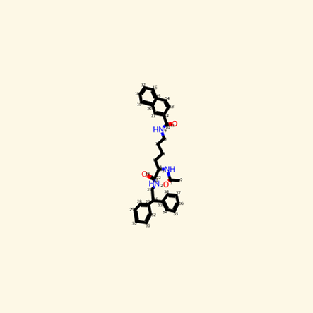 CC(=O)NC(CCCCNC(=O)c1ccc2ccccc2c1)C(=O)NCC(c1ccccc1)c1ccccc1